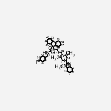 C[C@@H]1CN(c2nc3ccccc3n2C)C[C@H](C)N1CCCCC1(OC(=O)NCc2ccc(F)cc2)c2ccccc2-c2ccccc21